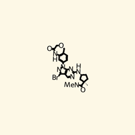 CNC(=O)[C@]1(C)CC[C@@H](Nc2ncc3c(Br)nn(-c4ccc5c(c4)NC(=O)COC5)c3n2)C1